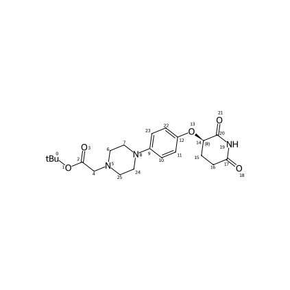 CC(C)(C)OC(=O)CN1CCN(c2ccc(O[C@@H]3CCC(=O)NC3=O)cc2)CC1